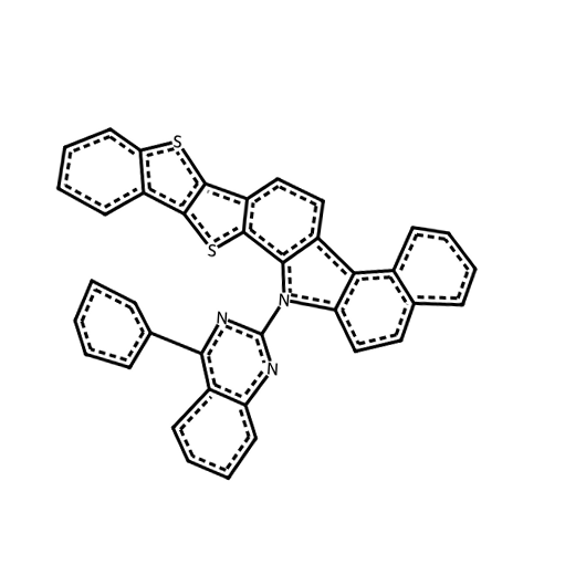 c1ccc(-c2nc(-n3c4ccc5ccccc5c4c4ccc5c6sc7ccccc7c6sc5c43)nc3ccccc23)cc1